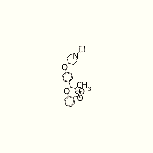 CC1C(c2ccc(OC3CCN(C4CCC4)CC3)cc2)Oc2ccccc2S1(=O)=O